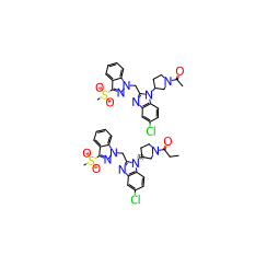 CC(=O)N1CCC(n2c(Cn3nc(S(C)(=O)=O)c4ccccc43)nc3cc(Cl)ccc32)C1.CCC(=O)N1CC[C@@H](n2c(Cn3nc(S(C)(=O)=O)c4ccccc43)nc3cc(Cl)ccc32)C1